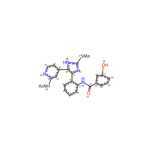 CSc1nc(-c2ccccc2NC(=O)c2cccc(O)c2)c(-c2ccnc(NC(C)=O)c2)[nH]1